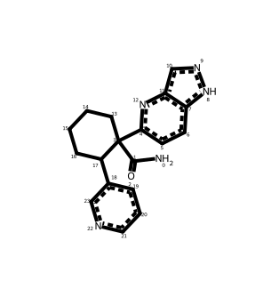 NC(=O)C1(c2ccc3[nH]ncc3n2)CCCCC1c1cccnc1